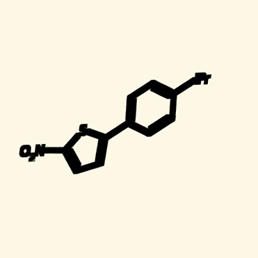 CC(C)c1ccc(-c2ccc([N+](=O)[O-])s2)cc1